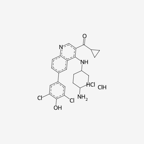 Cl.Cl.NC1CCC(Nc2c(C(=O)C3CC3)cnc3ccc(-c4cc(Cl)c(O)c(Cl)c4)cc23)CC1